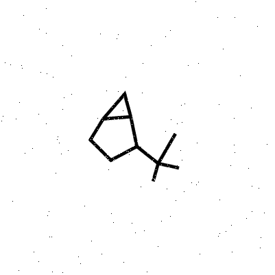 CC(C)(C)[C]1CCC2CC12